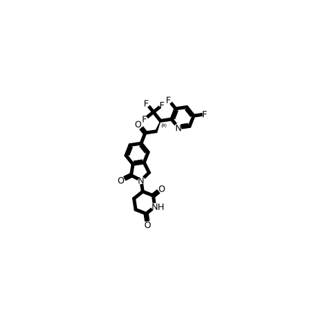 O=C1CCC(N2Cc3cc(C(=O)C[C@H](c4ncc(F)cc4F)C(F)(F)F)ccc3C2=O)C(=O)N1